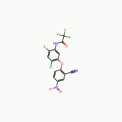 N#Cc1cc([N+](=O)[O-])ccc1Oc1cc(NC(=O)C(F)(F)F)c(F)cc1Cl